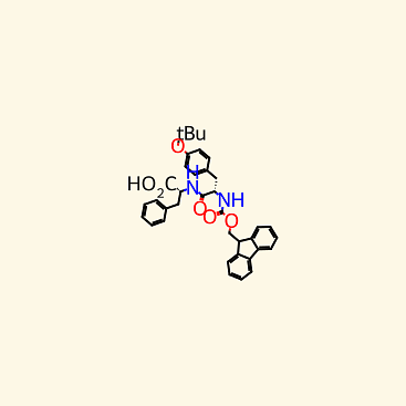 CC(C)(C)Oc1ccc(C[C@H](NC(=O)OCC2c3ccccc3-c3ccccc32)C(=O)N[C@H](Cc2ccccc2)C(=O)O)cc1